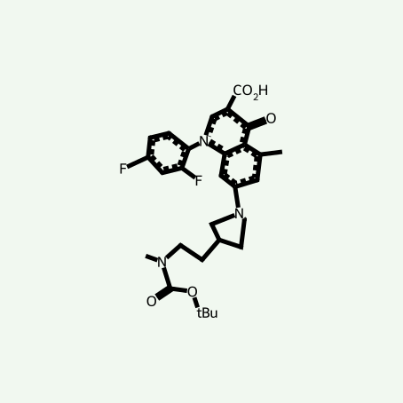 Cc1cc(N2CCC(CCN(C)C(=O)OC(C)(C)C)C2)cc2c1c(=O)c(C(=O)O)cn2-c1ccc(F)cc1F